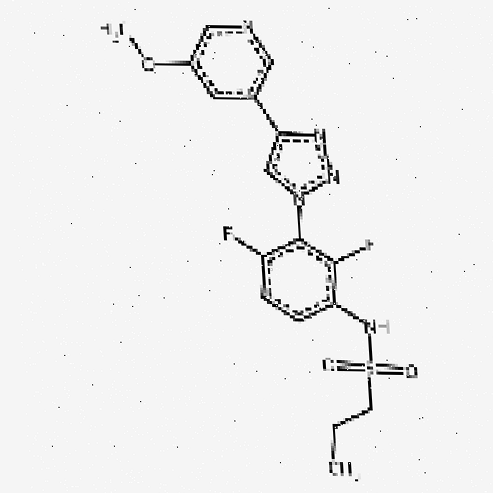 CCCS(=O)(=O)Nc1ccc(F)c(-n2cc(-c3cncc(OC)c3)nn2)c1F